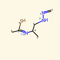 C=NNCC(C)/N=C(/C)S